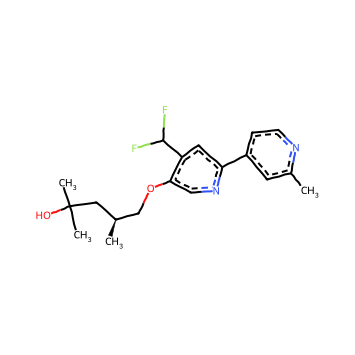 Cc1cc(-c2cc(C(F)F)c(OC[C@@H](C)CC(C)(C)O)cn2)ccn1